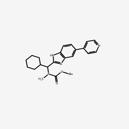 CN(C(=O)OC(C)(C)C)C(c1nc2cc(-c3ccncc3)ccc2[nH]1)C1CCCCC1